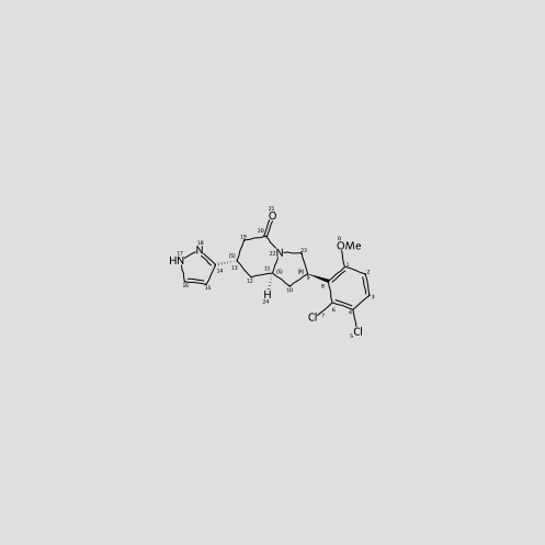 COc1ccc(Cl)c(Cl)c1[C@H]1C[C@H]2C[C@H](c3cc[nH]n3)CC(=O)N2C1